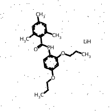 CCCOc1ccc(PC(=O)c2c(C)cc(C)cc2C)c(OCCC)c1.[LiH]